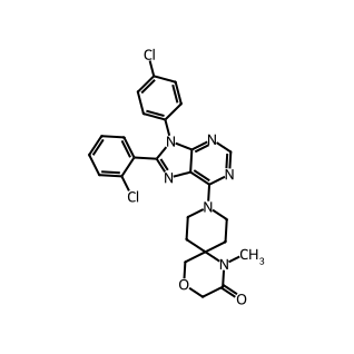 CN1C(=O)COCC12CCN(c1ncnc3c1nc(-c1ccccc1Cl)n3-c1ccc(Cl)cc1)CC2